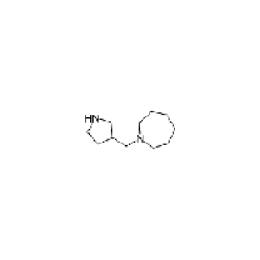 C1CCCN(CC2CCNC2)CC1